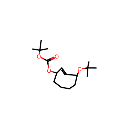 CC(C)(C)OC(=O)OC1/C=C/C(OC(C)(C)C)CCCC1